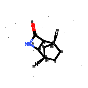 O=C1NC2C1[C@@H]1CC[C@H]2C1